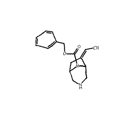 N#CC=C1CC2CNCC1N2C(=O)OCc1ccccc1